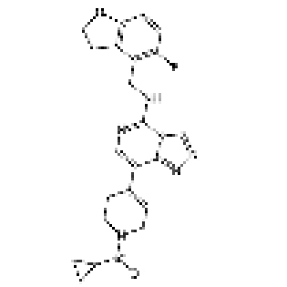 [O-][S+](C1CC1)N1CC=C(c2cnc(NCc3c(F)ccc4c3CCO4)n3cnnc23)CC1